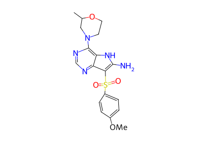 COc1ccc(S(=O)(=O)c2c(N)[nH]c3c(N4CCOC(C)C4)ncnc23)cc1